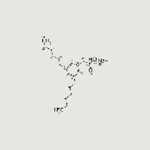 CCCCCCc1cc(CCCCCC)cc(CC(=O)O)c1.[NaH]